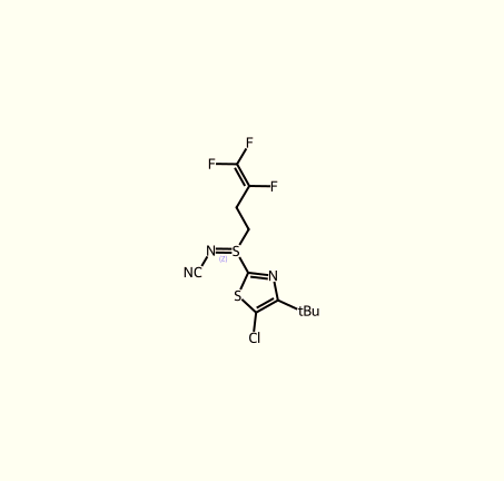 CC(C)(C)c1nc(/S(CCC(F)=C(F)F)=N\C#N)sc1Cl